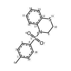 Cc1ccc(S(=O)(=O)N2CCSc3ccccc32)cc1